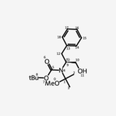 COC(C)(C)N(C(=O)OC(C)(C)C)[C@H](CO)Cc1ccccc1